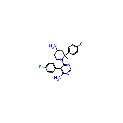 CC1(c2ccc(Cl)cc2)CC(N)CCN1c1ncnc(N)c1-c1ccc(F)cc1